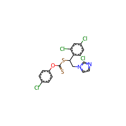 S=C(Oc1ccc(Cl)cc1)SC(Cn1ccnc1)c1c(Cl)cc(Cl)cc1Cl